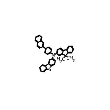 CC1(C)c2ccccc2-c2ccc(N(c3ccc(-c4ccc5ccccc5c4)cc3)c3ccc4sc5ccccc5c4c3)cc21